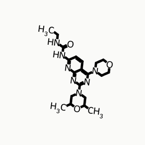 CCNC(=O)Nc1ccc2c(N3CCOCC3)nc(N3CC(C)OC(C)C3)nc2n1